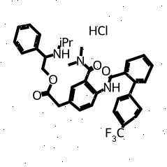 CC(C)NC(COC(=O)Cc1ccc(NC(=O)c2ccccc2-c2ccc(C(F)(F)F)cc2)c(C(=O)N(C)C)c1)c1ccccc1.Cl